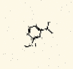 CNc1cccc(C(C)C)c1